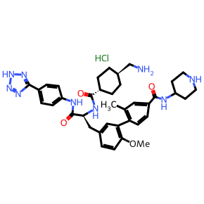 COc1ccc(C[C@H](NC(=O)[C@H]2CC[C@H](CN)CC2)C(=O)Nc2ccc(-c3nn[nH]n3)cc2)cc1-c1ccc(C(=O)NC2CCNCC2)cc1C.Cl